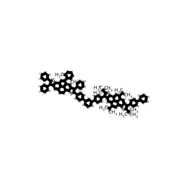 Cc1cccc(C)c1-c1cc2c3sc(-c4ccccc4)c(-c4ccccc4)c3cc3ccc4c5sc(-c6ccc(-c7cccc(-c8ccc(-c9c(C(C)(C)C)sc%10c9cc9c(C(C)C)cc%11c%12sc(C(C)(C)C)c(-c%13ccc(-c%14ccccc%14)cc%13)c%12cc%12c(C(C)C)cc%10c9c%12%11)cc8)c7)cc6)c(-c6ccccc6)c5cc1c4c32